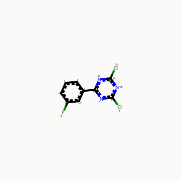 Fc1cccc(-c2nc(Cl)nc(Cl)n2)c1